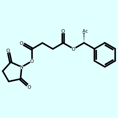 CC(=O)[C@@H](OC(=O)CCC(=O)ON1C(=O)CCC1=O)c1ccccc1